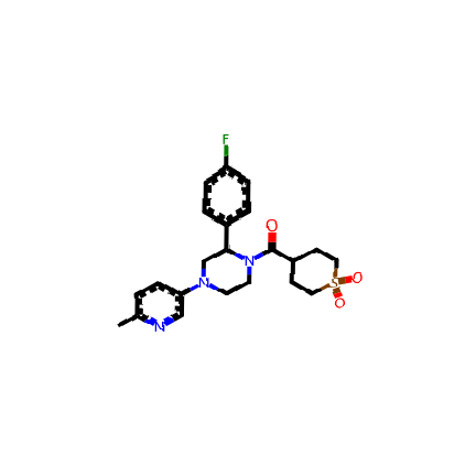 Cc1ccc(N2CCN(C(=O)C3CCS(=O)(=O)CC3)C(c3ccc(F)cc3)C2)cn1